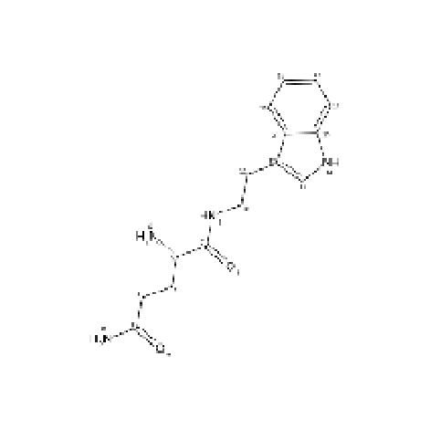 NC(=O)CC[C@H](N)C(=O)NCCc1c[nH]c2ccccc12